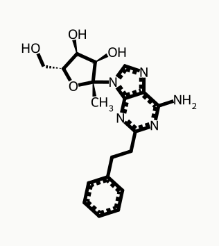 C[C@@]1(n2cnc3c(N)nc(CCc4ccccc4)nc32)O[C@H](CO)[C@@H](O)[C@H]1O